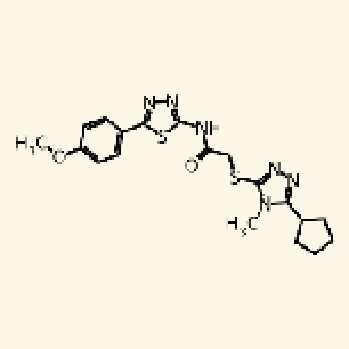 COc1ccc(-c2nnc(NC(=O)CSc3nnc(C4CCCC4)n3C)s2)cc1